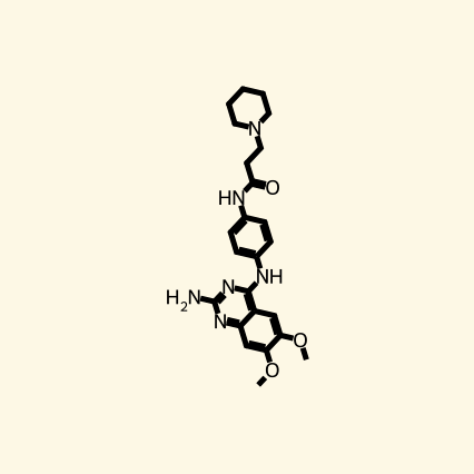 COc1cc2nc(N)nc(Nc3ccc(NC(=O)CCN4CCCCC4)cc3)c2cc1OC